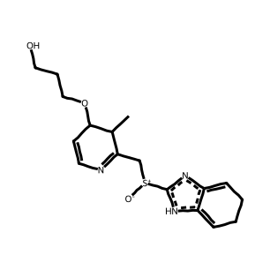 CC1C(C[S+]([O-])c2nc3c([nH]2)=CCCC=3)=NC=CC1OCCCO